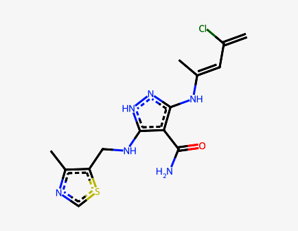 C=C(Cl)/C=C(\C)Nc1n[nH]c(NCc2scnc2C)c1C(N)=O